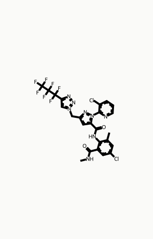 CNC(=O)c1cc(Cl)cc(C)c1NC(=O)c1cc(Cn2cc(C(F)(F)C(F)(F)C(F)(F)F)nn2)nn1-c1ncccc1Cl